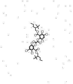 CCCC(COC(=O)c1c(Cl)c(Cl)cc(Cl)c1OC(=O)C(=O)Oc1c(Cl)cc(Cl)c(Cl)c1C(=O)OCC(CCC)C(C)(C)C)C(C)(C)C